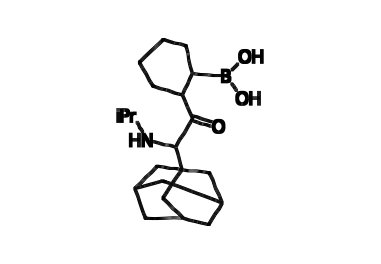 CC(C)NC(C(=O)C1CCCCC1B(O)O)C12CC3CC(CC(C3)C1)C2